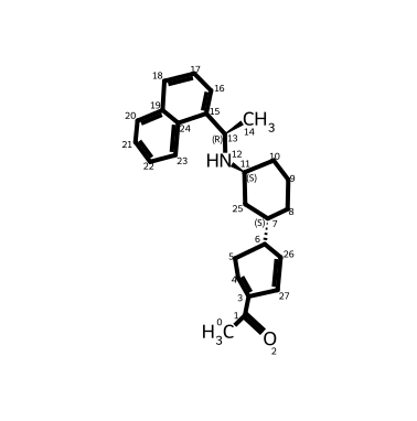 CC(=O)C1=CCC([C@H]2CCC[C@H](N[C@H](C)c3cccc4ccccc34)C2)C=C1